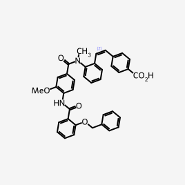 COc1cc(C(=O)N(C)c2ccccc2/C=C\c2ccc(C(=O)O)cc2)ccc1NC(=O)c1ccccc1OCc1ccccc1